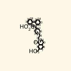 O=C1c2cc(CO)ccc2CCN1CCN1CCC(N(C(=O)O)c2ccccc2-c2ccccc2)CC1